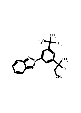 CCC(C)(O)c1cc(-n2nc3ccccc3n2)cc(C(C)(C)C)c1